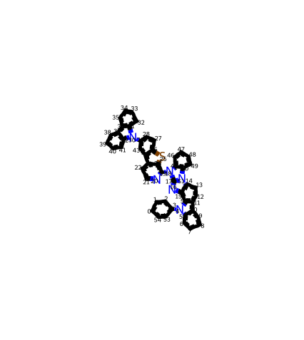 c1ccc(-n2c3ccccc3c3ccc4c(nc5n(-c6nccc7c6sc6ccc(-n8c9ccccc9c9ccccc98)cc67)c6ccccc6n45)c32)cc1